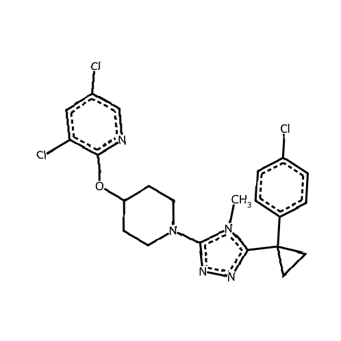 Cn1c(N2CCC(Oc3ncc(Cl)cc3Cl)CC2)nnc1C1(c2ccc(Cl)cc2)CC1